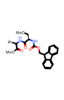 COC[C@@H](NC(=O)OCC1c2ccccc2-c2ccccc21)C(=O)NC(C(=O)OC)C(C)C